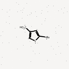 CCCCc1cc(C(=O)O)cs1